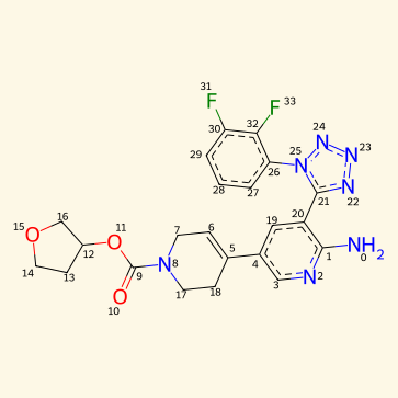 Nc1ncc(C2=CCN(C(=O)OC3CCOC3)CC2)cc1-c1nnnn1-c1cccc(F)c1F